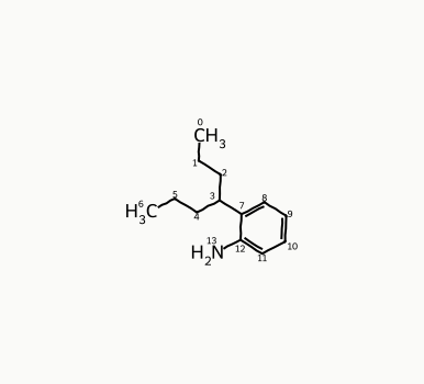 CCCC(CCC)c1ccccc1N